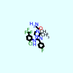 CC1(C)c2nc(-c3ccc(F)cc3)c(Nc3cc(C(F)(F)F)ccc3Cl)n2CCN1C(=O)CN